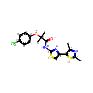 Cc1nc(C)c(-c2csc(NC(=O)C(C)(C)Oc3ccc(Cl)cc3)n2)s1